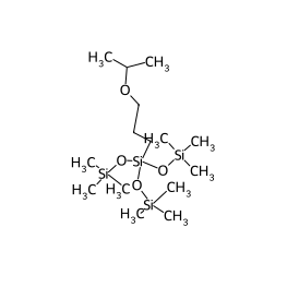 CC(C)OCCC[Si](O[Si](C)(C)C)(O[Si](C)(C)C)O[Si](C)(C)C